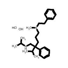 CC(C)NCC(CCCN(C)CCc1ccccc1)(c1ccccc1)C(C)C.Cl.Cl